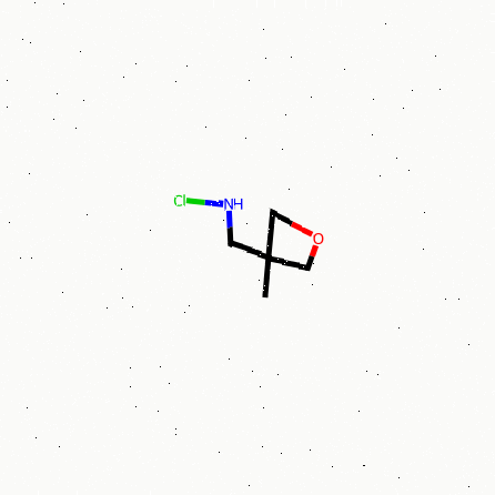 CC1(CNCl)COC1